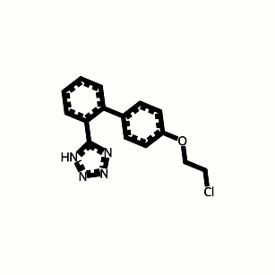 ClCCOc1ccc(-c2ccccc2-c2nnn[nH]2)cc1